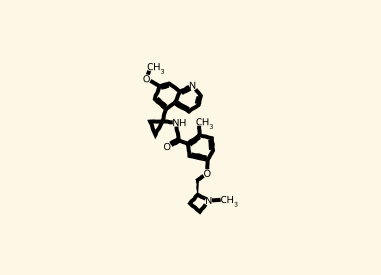 COc1cc(C2(NC(=O)c3cc(OC[C@@H]4CCN4C)ccc3C)CC2)c2cccnc2c1